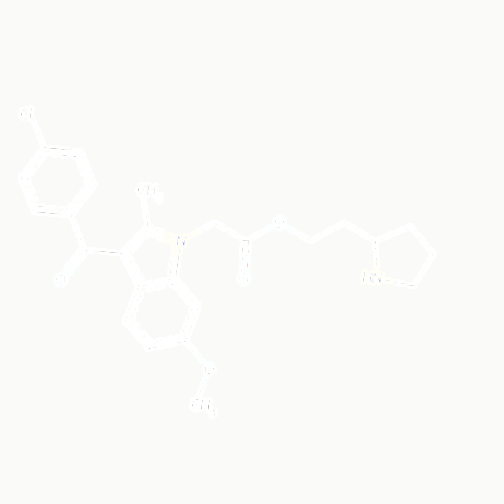 COc1ccc2c(C(=O)c3ccc(Cl)cc3)c(C)n(CC(=O)OCCC3CCCN3)c2c1